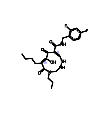 CCCC/C1=C(/O)C(=O)/C(C(=O)NCc2ccc(F)cc2F)=C\NNCN(CCC)C1=O